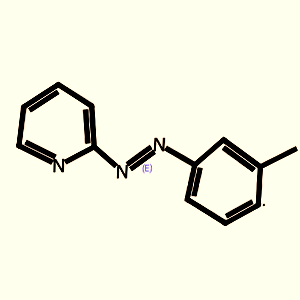 Cc1[c]ccc(/N=N/c2ccccn2)c1